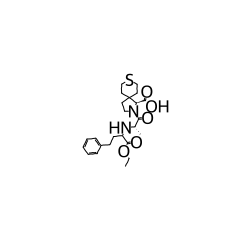 CCOC(=O)C(CCc1ccccc1)N[C@@H](C)C(=O)N1CCC2(CCSCC2)[C@H]1C(=O)O